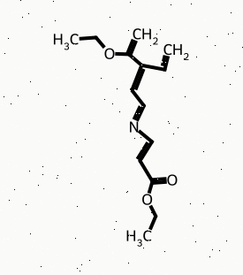 C=C\C(=C/C=N/C=C/C(=O)OCC)C(=C)OCC